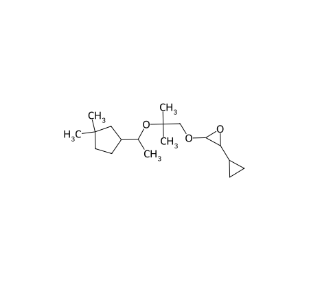 CC(OC(C)(C)COC1OC1C1CC1)C1CCC(C)(C)C1